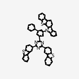 c1ccc(-c2cc(-c3nc(-c4ccc5sc6ccccc6c5c4)nc(-c4ccc5sc6ccccc6c5c4)n3)cc(-n3c4ccccc4c4ccc5c6ccccc6sc5c43)c2)cc1